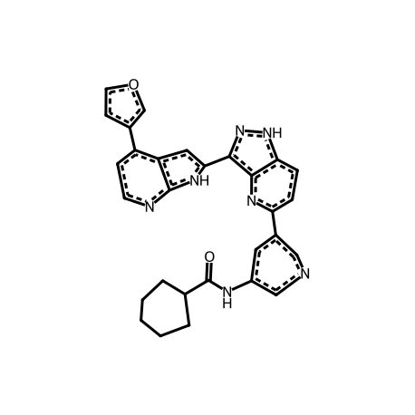 O=C(Nc1cncc(-c2ccc3[nH]nc(-c4cc5c(-c6ccoc6)ccnc5[nH]4)c3n2)c1)C1CCCCC1